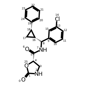 O=C1NC[C@@H](C(=O)NC(c2cccc(Cl)c2)[C@@H]2C[C@@H]2c2ccccc2)O1